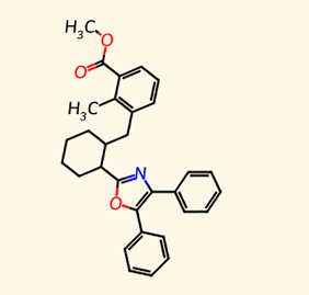 COC(=O)c1cccc(CC2CCCCC2c2nc(-c3ccccc3)c(-c3ccccc3)o2)c1C